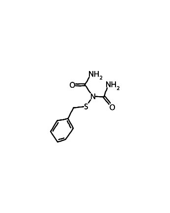 NC(=O)N(SCc1ccccc1)C(N)=O